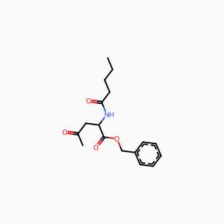 CCCCC(=O)NC(CC(C)=O)C(=O)OCc1ccccc1